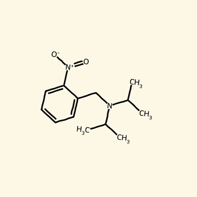 CC(C)N(Cc1ccccc1[N+](=O)[O-])C(C)C